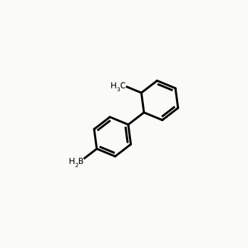 Bc1ccc(C2C=CC=CC2C)cc1